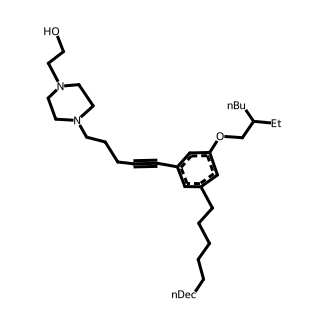 CCCCCCCCCCCCCCCc1cc(C#CCCCN2CCN(CCO)CC2)cc(OCC(CC)CCCC)c1